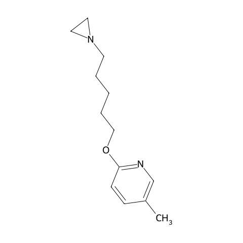 Cc1ccc(OCCCCCN2CC2)nc1